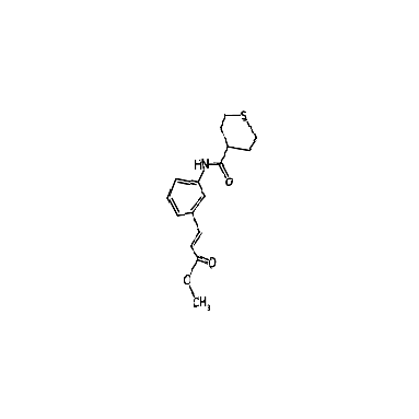 COC(=O)/C=C/c1cccc(NC(=O)C2CCSCC2)c1